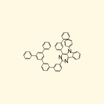 c1ccc(-c2cc(-c3ccccc3)cc(-c3cccc(-c4cccc(-c5nc(-c6cccc(-c7ccccc7)c6)c6c(n5)c5ccccc5n6-c5ccccc5)c4)c3)c2)cc1